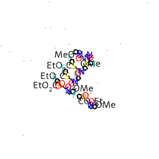 CCOC(=O)c1cc(F)ccc1S(=O)(=O)CCCC(=O)N1CCc2ccc(OC)cc21.CCOC(=O)c1cc(F)ccc1SCCCC(=O)N(C)c1cccc(F)c1.CCOC(=O)c1cc(F)ccc1SCCCC(=O)N(C)c1cccc(OC)c1.CCOC(=O)c1cc(F)ccc1[S+]([O-])CCCC(=O)N1CCc2ccc(OC)cc21.COc1ccc2c(c1)N(C(=O)CCCSc1ccc(F)cc1-c1nc(C)no1)CC2